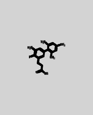 Cc1cc(C)c(-c2cc(C)c(F)c(CCC(=O)O)c2)c(C)c1